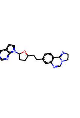 C1=Nc2cc(CCC3CCC(n4ccc5cncnc54)O3)ccc2C2=NCCN12